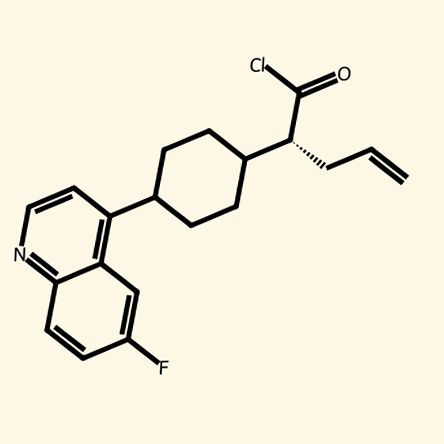 C=CC[C@@H](C(=O)Cl)C1CCC(c2ccnc3ccc(F)cc23)CC1